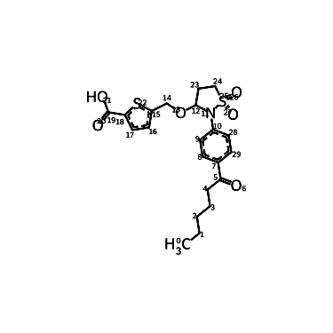 CCCCCC(=O)c1ccc(N2C(OCc3ccc(C(=O)O)s3)CCS2(=O)=O)cc1